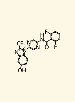 O=C(Nc1cnc(-n2c(C(F)(F)F)nc3cc(O)ccc32)cn1)c1c(F)cccc1F